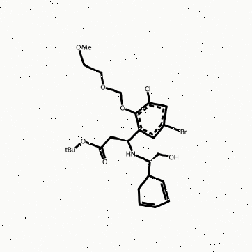 COCCOCOc1c(Cl)cc(Br)cc1[C@H](CC(=O)OC(C)(C)C)N[C@@H](CO)C1C=CC=CC1